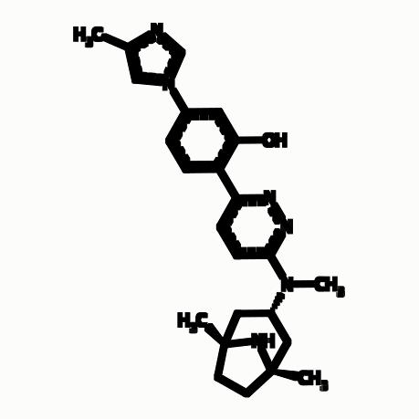 Cc1cn(-c2ccc(-c3ccc(N(C)[C@@H]4C[C@]5(C)CC[C@](C)(C4)N5)nn3)c(O)c2)cn1